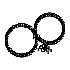 CC(C)(C)OC(=O)N1CCCCCCCCCCCCCCCCCCCCCCCCCCCCCCCCCCCCCCCC2(CCCCCCCCCCCCCCCCCCCCCCCCCCCCCCCCCCCCCCCCCCCCCC23OCCO3)CNCCCC1